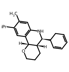 Cc1cc2c(cc1C(C)C)[C@H]1OCCC[C@H]1[C@H](C1C=CC=CC1)N2